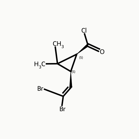 CC1(C)[C@H](C=C(Br)Br)[C@@H]1C(=O)Cl